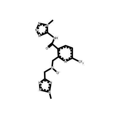 Cn1nnc(C[S+]([O-])Cc2nc(C(F)(F)F)ccc2C(=O)Nc2nnnn2C)n1